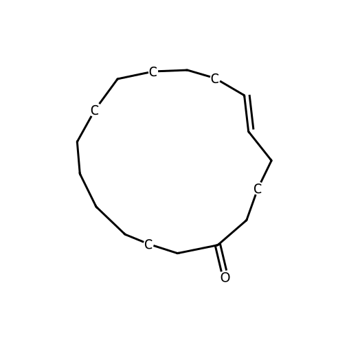 O=C1CCC/C=C/CCCCCCCCCCC1